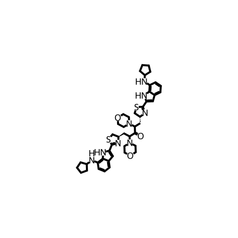 O=C(C(C[C@@H]1CSC(c2cc3cccc(NC4CCCC4)c3[nH]2)=N1)N1CCOCC1)C(C[C@@H]1CSC(c2cc3cccc(NC4CCCC4)c3[nH]2)=N1)N1CCOCC1